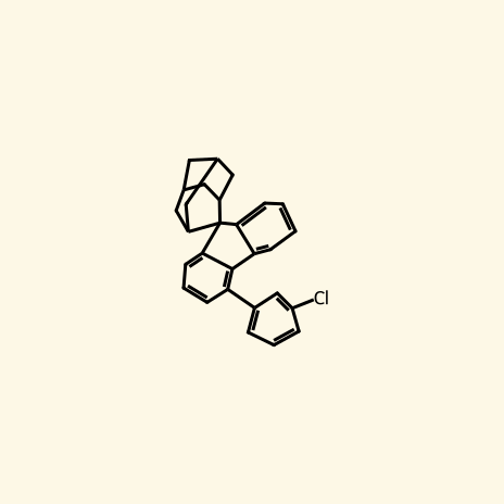 Clc1cccc(-c2cccc3c2-c2ccccc2C32C3CC4CC(C3)CC2C4)c1